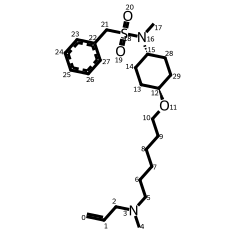 C=CCN(C)CCCCCCO[C@H]1CC[C@H](N(C)S(=O)(=O)Cc2ccccc2)CC1